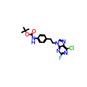 CC(C)(C)OC(=O)Nc1ccc(CCn2cnc3c(Cl)nc(F)nc32)cc1